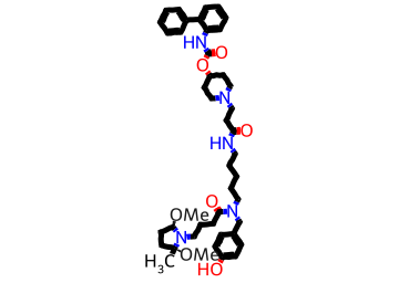 CO[C@@H]1CC[C@@](C)(OC)N1CCCC(=O)N(CCCCCNC(=O)CCN1CCC(OC(=O)Nc2ccccc2-c2ccccc2)CC1)Cc1ccc(O)cc1